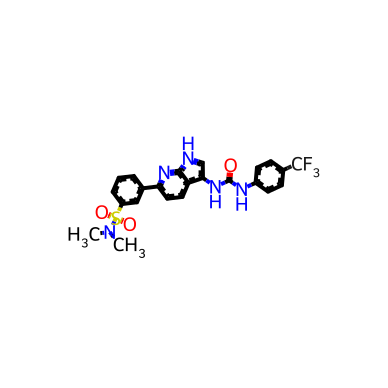 CN(C)S(=O)(=O)c1cccc(-c2ccc3c(NC(=O)Nc4ccc(C(F)(F)F)cc4)c[nH]c3n2)c1